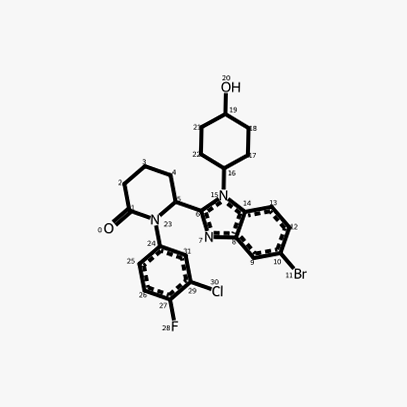 O=C1CCCC(c2nc3cc(Br)ccc3n2C2CCC(O)CC2)N1c1ccc(F)c(Cl)c1